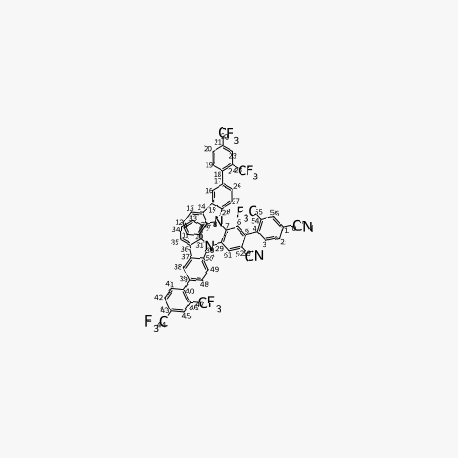 N#Cc1ccc(-c2cc(-n3c4ccccc4c4cc(-c5ccc(C(F)(F)F)cc5C(F)(F)F)ccc43)c(-n3c4ccccc4c4cc(-c5ccc(C(F)(F)F)cc5C(F)(F)F)ccc43)cc2C#N)c(C(F)(F)F)c1